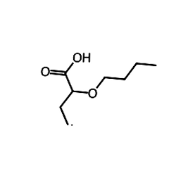 [CH2]CC(OCCCC)C(=O)O